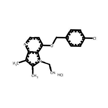 Cc1c(C)n(CC#N)c2c(OCc3ccc(Cl)cc3)ccnc12.Cl